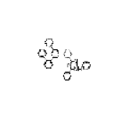 c1ccc(C2=NC(c3cccc(-c4cc(-c5ccccc5)c5c6ccccc6c6ccccc6c5c4)c3)=NC(c3ccccc3)N2)cc1